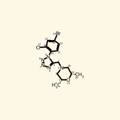 C[C@@H]1CN(Cc2nnnn2-c2ccc(Br)cc2Cl)C[C@H](C)O1